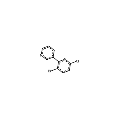 Clc1ccc(Br)c(-c2cccnc2)n1